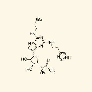 CCCN(C(=O)C(F)(F)F)[C@H]1C[C@@H](n2cnc3c(NCCC(C)(C)C)nc(NCCc4c[nH]cn4)nc32)[C@H](O)[C@@H]1O